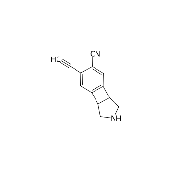 C#Cc1cc2c(cc1C#N)C1CNCC21